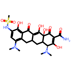 CN(C)c1cc(NS(C)(=O)=O)c(O)c2c1CC1CC3[C@H](N(C)C)C(O)=C(C(N)=O)C(=O)[C@@]3(O)C(O)=C1C2=O